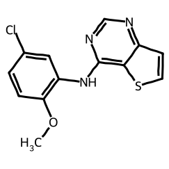 COc1ccc(Cl)cc1Nc1ncnc2ccsc12